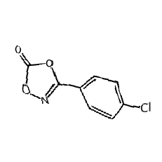 O=c1onc(-c2ccc(Cl)cc2)o1